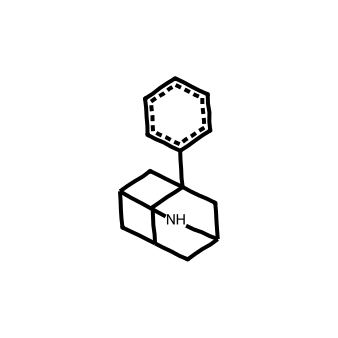 c1ccc(C23CC4CC(C2)NC(C4)C3)cc1